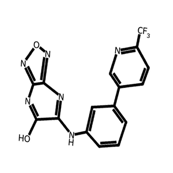 Oc1nc2nonc2nc1Nc1cccc(-c2ccc(C(F)(F)F)nc2)c1